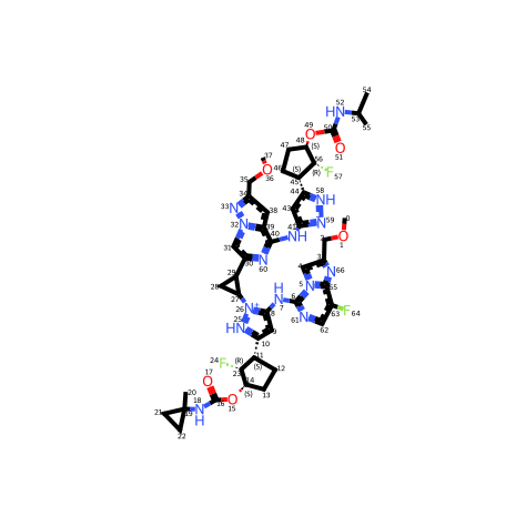 COCc1cn2c(Nc3cc([C@@H]4CC[C@H](OC(=O)NC5(C)CC5)[C@@H]4F)[nH][n+]3C3CC3c3cn4nc(COC)cc4c(Nc4cc([C@@H]5CC[C@H](OC(=O)NC(C)C)[C@@H]5F)[nH]n4)n3)ncc(F)c2n1